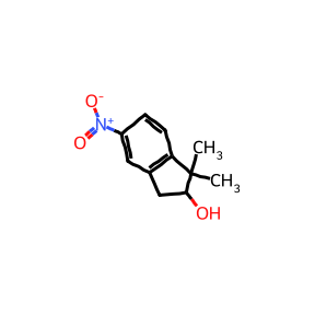 CC1(C)c2ccc([N+](=O)[O-])cc2CC1O